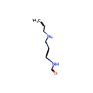 C=CCNCCCNC=O